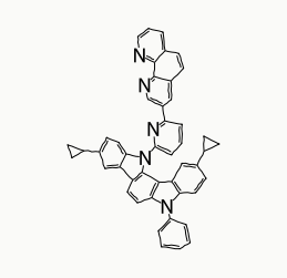 c1ccc(-n2c3ccc(C4CC4)cc3c3c2ccc2c4cc(C5CC5)ccc4n(-c4cccc(-c5cnc6c(ccc7cccnc76)c5)n4)c23)cc1